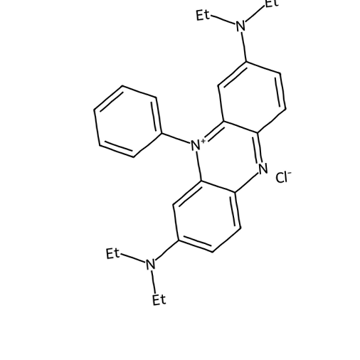 CCN(CC)c1ccc2nc3ccc(N(CC)CC)cc3[n+](-c3ccccc3)c2c1.[Cl-]